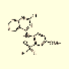 COc1ccc(Nc2nc(Cl)nc3ccccc23)c(S(=O)(=O)C(C)C)c1